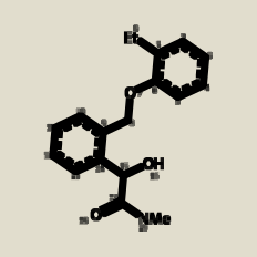 CCc1ccccc1OCc1ccccc1C(O)C(=O)NC